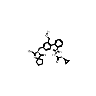 CCCCC1=NC2(CCCC2)C(=O)N1Cc1ccc(-c2ccccc2S(=O)(=O)NC(=O)OC2CC2)c(COCC)c1